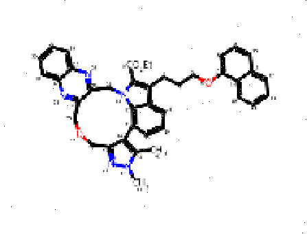 CCOC(=O)c1c(CCCOc2cccc3ccccc23)c2cccc3c2n1Cc1nc2ccccc2nc1COCc1nn(C)c(C)c1-3